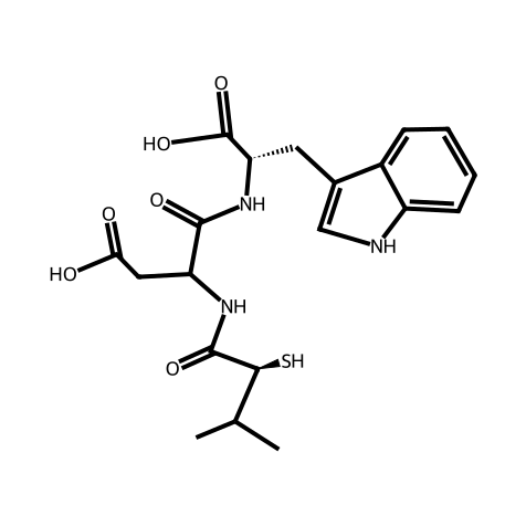 CC(C)[C@H](S)C(=O)NC(CC(=O)O)C(=O)N[C@@H](Cc1c[nH]c2ccccc12)C(=O)O